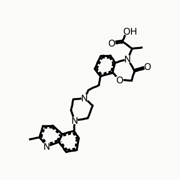 Cc1ccc2c(N3CCN(CCc4cccc5c4OCC(=O)N5C(C)C(=O)O)CC3)cccc2n1